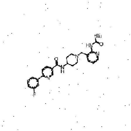 CC(C)(C)C(=O)Nc1ncccc1CN1CCC(NC(=O)c2ccc(-c3cccc(F)c3)nc2)CC1